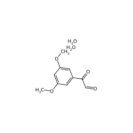 COc1cc(OC)cc(C(=O)C=O)c1.O.O